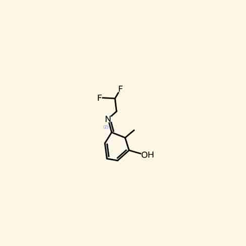 CC1C(O)=CC=C/C1=N/CC(F)F